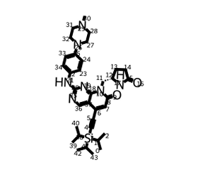 CC(C)[Si](C#Cc1cc(=O)n(C[C@@H]2CCC(=O)N2)c2nc(Nc3ccc(N4CCN(C)CC4)cc3)ncc12)(C(C)C)C(C)C